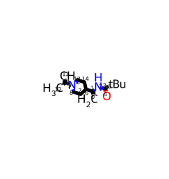 C=C(NC(=O)C(C)(C)C)C1CCN(C(=C)C)CC1